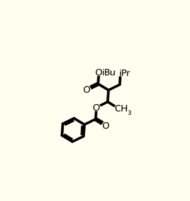 CC(C)COC(=O)C(CC(C)C)C(C)OC(=O)c1ccccc1